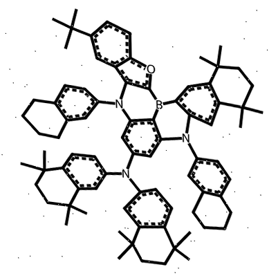 CC(C)(C)c1ccc2oc3c(c2c1)N(c1ccc2c(c1)CCCC2)c1cc(N(c2ccc4c(c2)C(C)(C)CCC4(C)C)c2ccc4c(c2)C(C)(C)CCC4(C)C)cc2c1B3c1cc3c(cc1N2c1ccc2c(c1)CCCC2)C(C)(C)CCC3(C)C